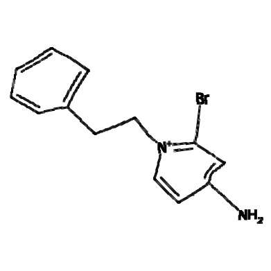 Nc1cc[n+](CCc2ccccc2)c(Br)c1